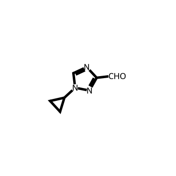 O=Cc1ncn(C2CC2)n1